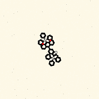 Cc1oc2cc(-c3c4ccccc4c([Si](c4ccccc4)(c4ccccc4)c4ccccc4)c4ccccc34)ccc2c1[Si](c1ccccc1)(c1ccccc1)c1ccccc1